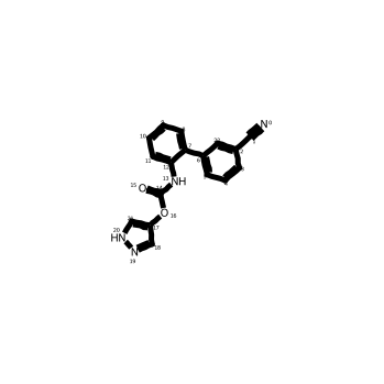 N#Cc1cccc(-c2ccccc2NC(=O)Oc2cn[nH]c2)c1